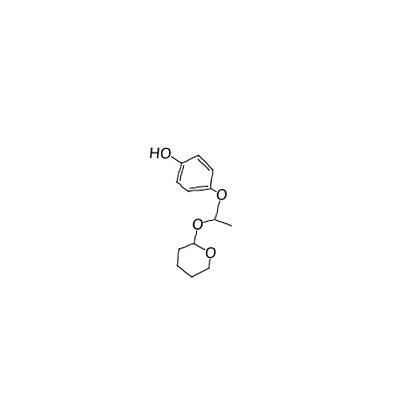 CC(Oc1ccc(O)cc1)OC1CCCCO1